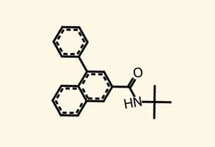 CC(C)(C)NC(=O)c1cc(-c2ccccc2)c2ccccc2c1